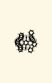 N#Cc1c(-c2cccc3c2sc2ccccc23)c(-n2c3ccccc3c3ccc4oc5ccccc5c4c32)c(C#N)c(-n2c3ccccc3c3ccc4oc5ccccc5c4c32)c1-n1c2ccccc2c2ccc3oc4ccccc4c3c21